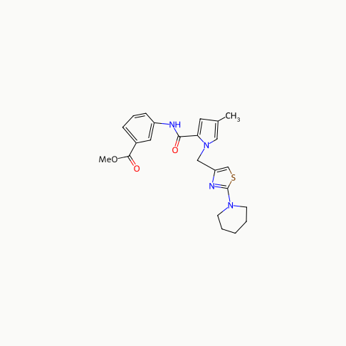 COC(=O)c1cccc(NC(=O)c2cc(C)cn2Cc2csc(N3CCCCC3)n2)c1